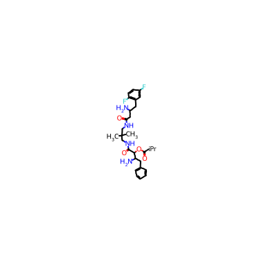 CC(C)C(=O)OC(C(=O)NCC(C)(C)CNC(=O)CC(N)Cc1cc(F)ccc1F)C(N)Cc1ccccc1